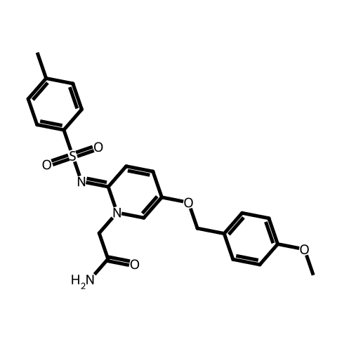 COc1ccc(COc2ccc(=NS(=O)(=O)c3ccc(C)cc3)n(CC(N)=O)c2)cc1